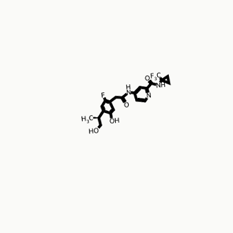 C[C@H](CO)c1cc(F)c(CC(=O)Nc2ccnc(C(=O)NC3(C(F)(F)F)CC3)c2)cc1O